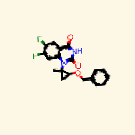 CC1(n2c(=O)[nH]c(=O)c3cc(F)c(F)cc32)CC1OCc1ccccc1